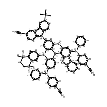 CC(C)(C)c1ccc2c(c1)c1cc(C#N)ccc1n2-c1cc2c3c(c1)N(c1ccc4c(c1)C(C)(C)CCC4(C)C)c1cc(N(c4ccccc4)c4ccc(C#N)cc4)ccc1B3c1c(cc(N(c3ccccc3)c3ccc(C#N)cc3)c3c1oc1ccccc13)O2